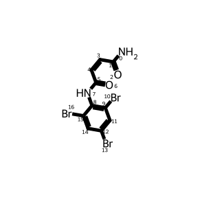 NC(=O)/C=C\C(=O)Nc1c(Br)cc(Br)cc1Br